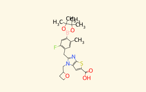 Cc1cc(Cc2nc3sc(C(=O)O)cc3n2CC2CCO2)c(F)cc1B1OC(C)(C)C(C)(C)O1